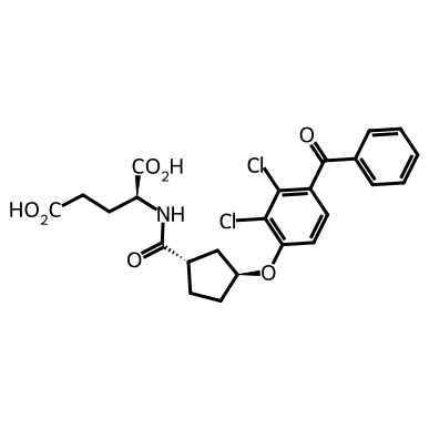 O=C(O)CC[C@H](NC(=O)[C@H]1CC[C@H](Oc2ccc(C(=O)c3ccccc3)c(Cl)c2Cl)C1)C(=O)O